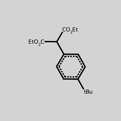 CCOC(=O)C(C(=O)OCC)c1ccc(C(C)(C)C)cc1